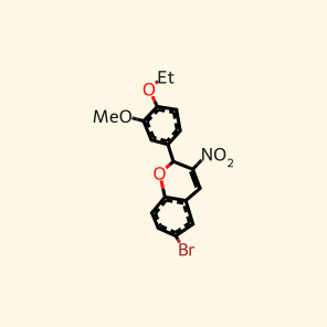 CCOc1ccc(C2Oc3ccc(Br)cc3C=C2[N+](=O)[O-])cc1OC